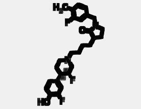 Cc1ccc(CN2CCC(CCCCN3CC[C@H](c4ccc(O)c(F)c4)[C@@H](F)C3)C2=O)cc1F